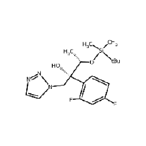 C[C@H](O[Si](C)(C)C(C)(C)C)[C@](O)(Cn1ccnn1)c1ccc(F)cc1F